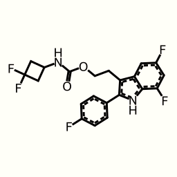 O=C(NC1CC(F)(F)C1)OCCc1c(-c2ccc(F)cc2)[nH]c2c(F)cc(F)cc12